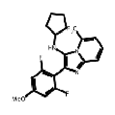 COc1cc(F)c(-c2nc3cccc(C(F)(F)F)n3c2NC2CCCC2)c(F)c1